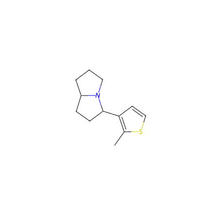 Cc1sccc1C1CCC2CCCN21